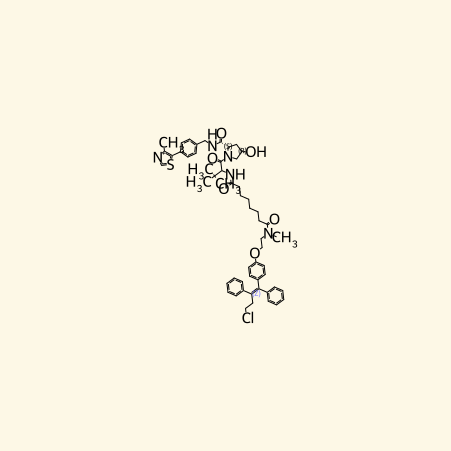 Cc1ncsc1-c1ccc(CNC(=O)[C@@H]2C[C@@H](O)CN2C(=O)C(NC(=O)CCCCCCC(=O)N(C)CCOc2ccc(/C(=C(/CCCl)c3ccccc3)c3ccccc3)cc2)C(C)(C)C)cc1